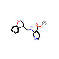 COC(=O)c1ccncc1NCC1CCOc2ccccc21